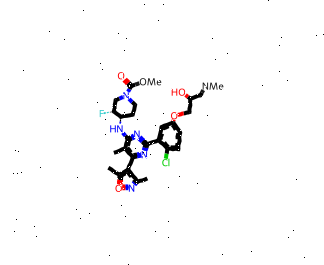 CNCC(O)COc1ccc(Cl)c(-c2nc(N[C@H]3CCN(C(=O)OC)C[C@H]3F)c(C)c(-c3c(C)noc3C)n2)c1